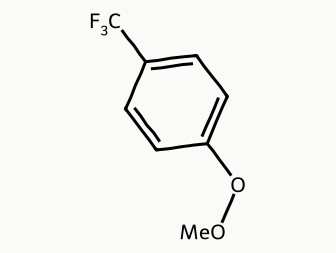 COOc1ccc(C(F)(F)F)cc1